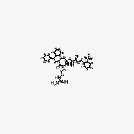 N=C(N)NCCC[C@@H]1N[C@H](CNC(=O)/C=C/c2ccccc2C(F)(F)F)CCN(CC(c2ccccc2)c2ccccc2)C1=O